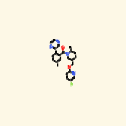 Cc1ccc(-c2cnccn2)c(C(=O)N2C[C@H](COc3ccc(F)cn3)CC[C@@H]2C)c1